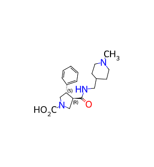 CN1CCC(CNC(=O)[C@H]2CN(C(=O)O)C[C@@H]2c2ccccc2)CC1